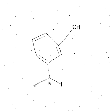 C[C@@H](I)c1cccc(O)c1